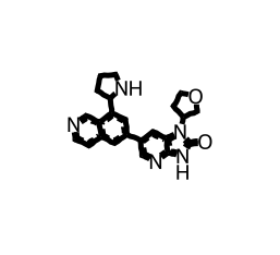 O=c1[nH]c2ncc(-c3cc(C4CCCN4)c4cnccc4c3)cc2n1C1CCOC1